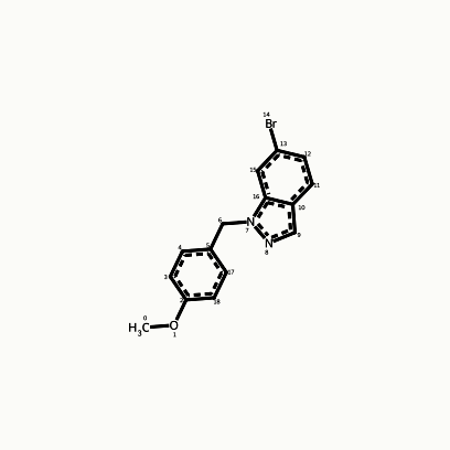 COc1ccc(Cn2ncc3ccc(Br)cc32)cc1